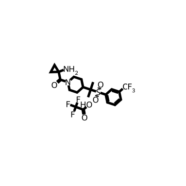 CC(C)(C1CCN(C(=O)C2(N)CC2)CC1)S(=O)(=O)c1cccc(C(F)(F)F)c1.O=C(O)C(F)(F)F